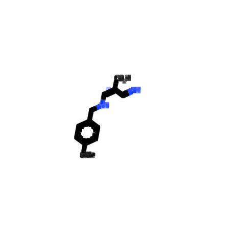 COc1ccc(CN/C=C(\C=N)C(=O)O)cc1